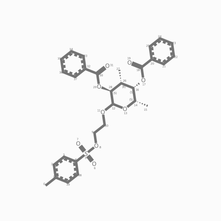 Cc1ccc(S(=O)(=O)OCCOC2O[C@@H](C)[C@@H](OC(=O)c3ccccc3)[C@@H](C)[C@@H]2OC(=O)c2ccccc2)cc1